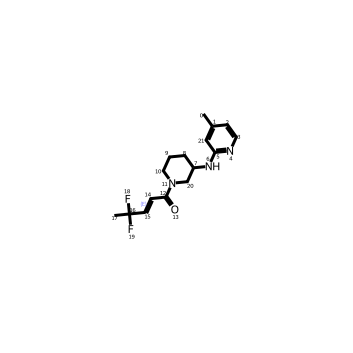 Cc1ccnc(NC2CCCN(C(=O)/C=C/C(C)(F)F)C2)c1